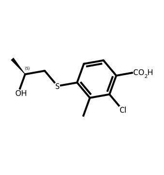 Cc1c(SC[C@H](C)O)ccc(C(=O)O)c1Cl